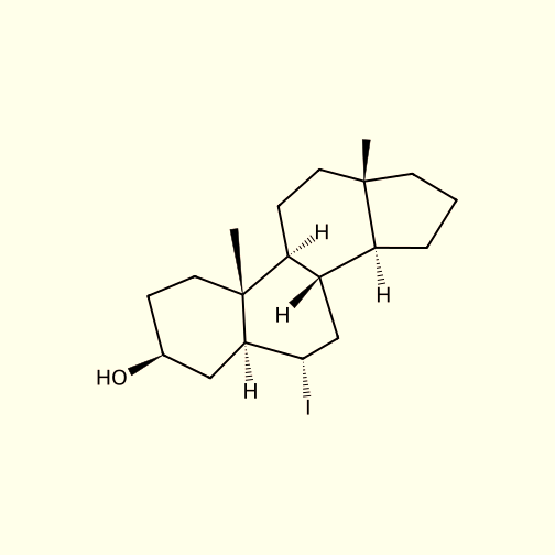 C[C@@]12CCC[C@H]1[C@@H]1C[C@H](I)[C@H]3C[C@@H](O)CC[C@]3(C)[C@H]1CC2